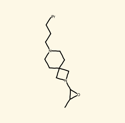 CC(C)CCCN1CCC2(CC1)CN(C1OC1C)C2